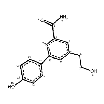 NC(=O)c1cc(CCO)cc(-c2ccc(O)cc2)n1